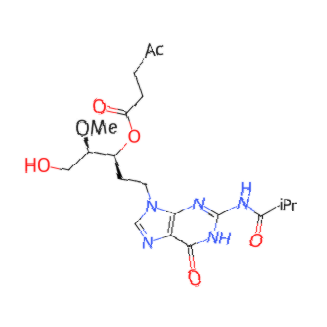 CO[C@H](CO)[C@H](CCn1cnc2c(=O)[nH]c(NC(=O)C(C)C)nc21)OC(=O)CCC(C)=O